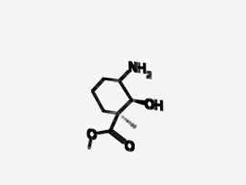 COC(=O)[C@@]1(C)CCCC(N)[C@H]1O